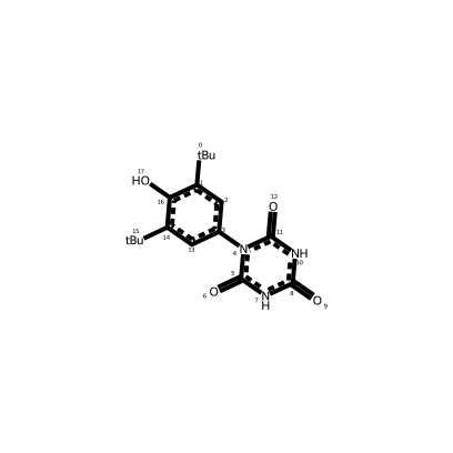 CC(C)(C)c1cc(-n2c(=O)[nH]c(=O)[nH]c2=O)cc(C(C)(C)C)c1O